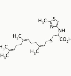 CC(C)=CCCC(C)=CCCC(C)=CCSCC(Nc1csc(C)n1)C(=O)O